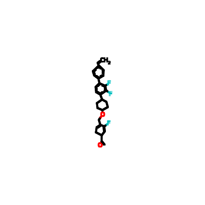 C=Cc1ccc(-c2ccc(C3CCC(OCC4=CCC(C5CO5)C=C4F)CC3)c(F)c2F)cc1